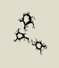 Cc1cc(C)cc(C)c1.Cc1ccc(C)c(C)c1.Cc1cccc(C)c1C